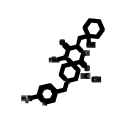 CCCCN1C(=O)[C@@H](CC2(O)CCCCC2)NC(=O)C12CCN(Cc1ccc(N)nc1)CC2.Cl.Cl